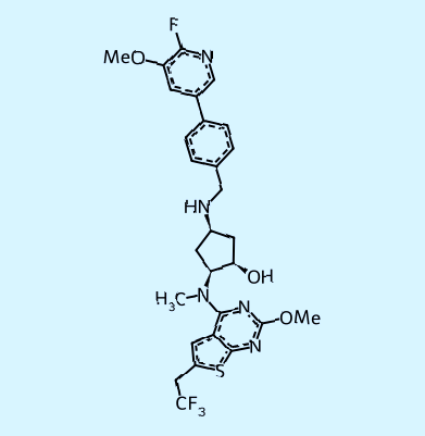 COc1nc(N(C)[C@H]2C[C@@H](NCc3ccc(-c4cnc(F)c(OC)c4)cc3)C[C@H]2O)c2cc(CC(F)(F)F)sc2n1